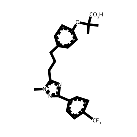 Cn1nc(-c2ccc(C(F)(F)F)cc2)nc1CCCc1ccc(OC(C)(C)C(=O)O)cc1